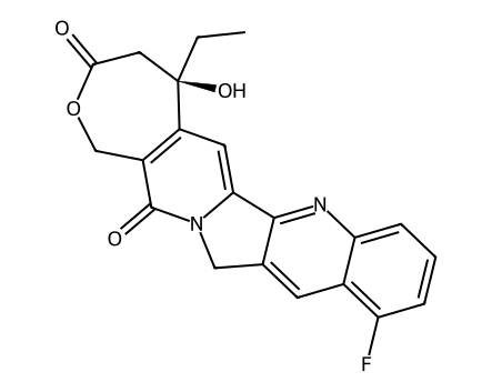 CC[C@@]1(O)CC(=O)OCc2c1cc1n(c2=O)Cc2cc3c(F)cccc3nc2-1